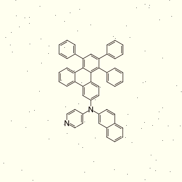 c1ccc(-c2cc(-c3ccccc3)c3c4ccccc4c4cc(N(c5ccncc5)c5ccc6ccccc6c5)ccc4c3c2-c2ccccc2)cc1